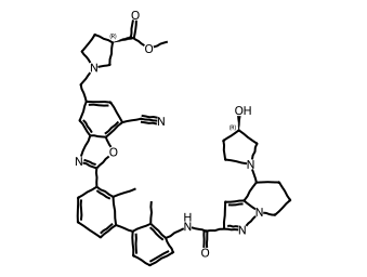 COC(=O)[C@@H]1CCN(Cc2cc(C#N)c3oc(-c4cccc(-c5cccc(NC(=O)c6cc7n(n6)CCCC7N6CC[C@@H](O)C6)c5C)c4C)nc3c2)C1